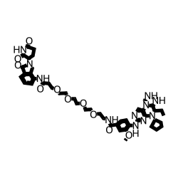 CCC1C(=N)N(C=N)c2cnc(Nc3ccc(C(=O)NCCOCCOCCOCCOCCC(=O)Nc4cccc5c4CN(C4CCC(=O)NC4=O)C5=O)cc3OC)nc2N1C1CCCC1